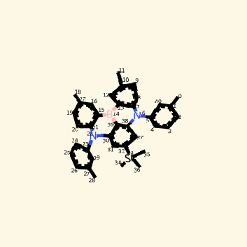 Cc1cccc(N2c3ccc(C)cc3B3c4cc(C)ccc4N(c4cccc(C)c4)c4cc([Si](C)(C)C)cc2c43)c1